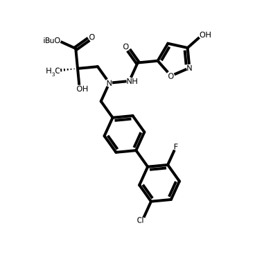 CC(C)COC(=O)[C@](C)(O)CN(Cc1ccc(-c2cc(Cl)ccc2F)cc1)NC(=O)c1cc(O)no1